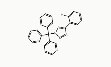 Ic1ccccc1-c1nnn(C(c2ccccc2)(c2ccccc2)c2ccccc2)n1